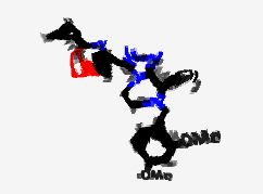 COc1ccc(CN2CCn3c(-c4coc(C5CC5)n4)nnc3C2C)c(OC)c1